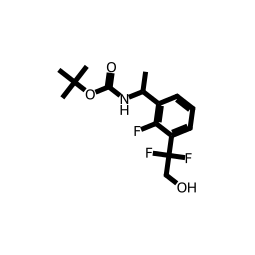 CC(NC(=O)OC(C)(C)C)c1cccc(C(F)(F)CO)c1F